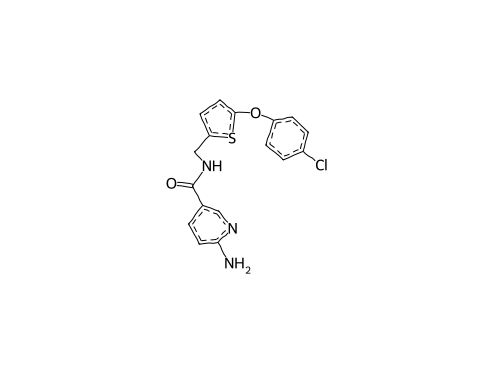 Nc1ccc(C(=O)NCc2ccc(Oc3ccc(Cl)cc3)s2)cn1